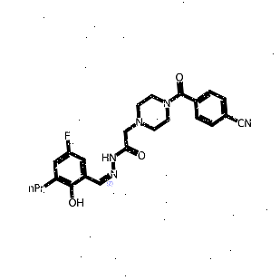 CCCc1cc(F)cc(/C=N\NC(=O)CN2CCN(C(=O)c3ccc(C#N)cc3)CC2)c1O